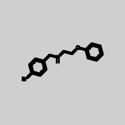 Brc1ccc(CNCCOc2ccccc2)cc1